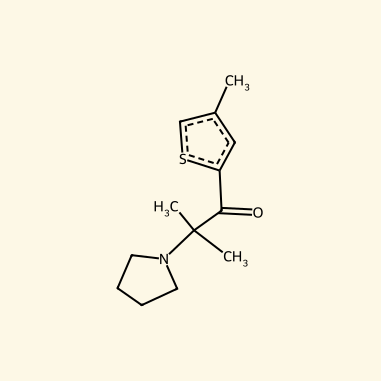 Cc1csc(C(=O)C(C)(C)N2CCCC2)c1